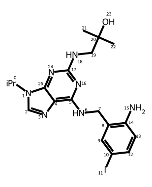 CC(C)n1cnc2c(NCc3cc(I)ccc3N)nc(NCC(C)(C)O)nc21